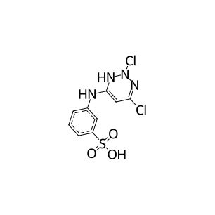 O=S(=O)(O)c1cccc(NC2=CC(Cl)=NN(Cl)N2)c1